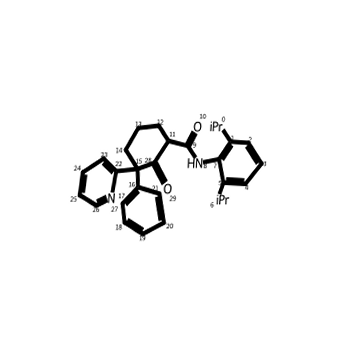 CC(C)c1cccc(C(C)C)c1NC(=O)C1CCCC(c2ccccc2)(c2ccccn2)C1=O